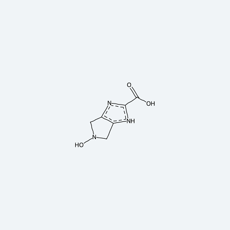 O=C(O)c1nc2c([nH]1)CN(O)C2